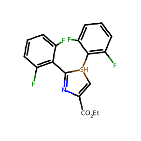 CCOC(=O)C1=C[SH](c2c(F)cccc2F)C(c2c(F)cccc2F)=N1